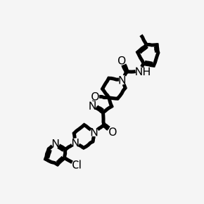 Cc1cccc(NC(=O)N2CCC3(CC2)CC(C(=O)N2CCN(c4ncccc4Cl)CC2)=NO3)c1